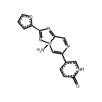 N[N+]12C=C(c3ccc(=O)[nH]c3)N=CC1=NC(c1ccco1)=N2